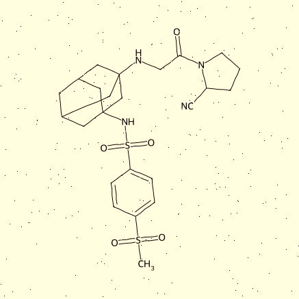 CS(=O)(=O)c1ccc(S(=O)(=O)NC23CC4CC(CC(NCC(=O)N5CCCC5C#N)(C4)C2)C3)cc1